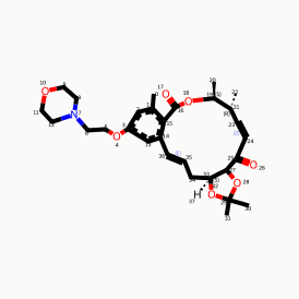 Cc1cc(OCCN2CCOCC2)cc2c1C(=O)O[C@@H](C)[C@H](C)/C=C\C(=O)C1OC(C)(C)O[C@H]1C/C=C/2